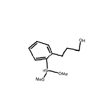 CO[SiH](OC)c1ccccc1CCCO